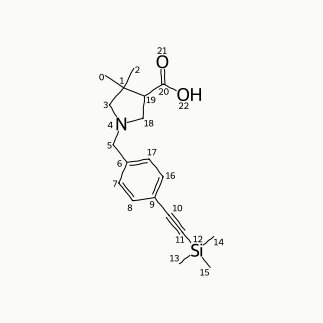 CC1(C)CN(Cc2ccc(C#C[Si](C)(C)C)cc2)CC1C(=O)O